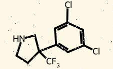 FC(F)(F)C1(c2cc(Cl)cc(Cl)c2)[CH]CNC1